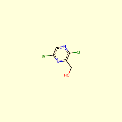 OCc1nc(Br)cnc1Cl